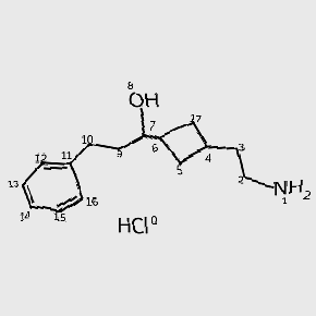 Cl.NCCC1CC(C(O)CCc2ccccc2)C1